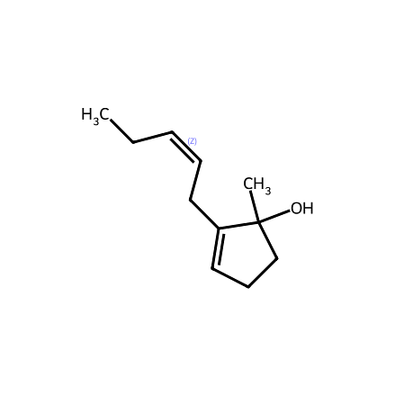 CC/C=C\CC1=CCCC1(C)O